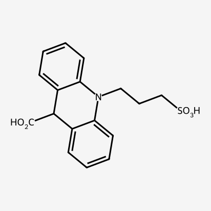 O=C(O)C1c2ccccc2N(CCCS(=O)(=O)O)c2ccccc21